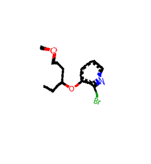 CCC(CCOC)Oc1cccnc1Br